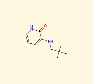 CC(C)(C)CNc1ccc[nH]c1=O